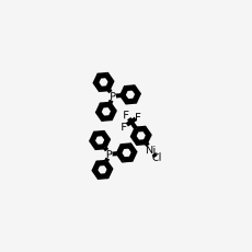 FC(F)(F)c1cc[c]([Ni][Cl])cc1.c1ccc(P(c2ccccc2)c2ccccc2)cc1.c1ccc(P(c2ccccc2)c2ccccc2)cc1